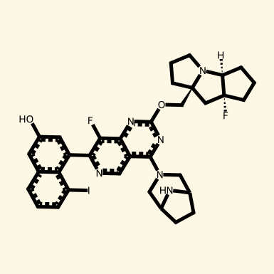 Oc1cc(-c2ncc3c(N4CC5CCC(C4)N5)nc(OC[C@@]45CCCN4[C@H]4CCC[C@@]4(F)C5)nc3c2F)c2c(I)cccc2c1